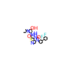 C=CC(=C)N1C[C@@H](O)C[C@@H](NC(=O)c2sc3nccc4c3c2NC(=O)N4c2cccc(-c3cccc(F)c3F)c2)C1